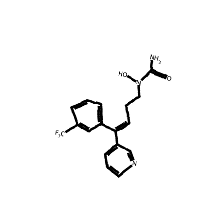 NC(=O)N(O)CC/C=C(/c1cccnc1)c1cccc(C(F)(F)F)c1